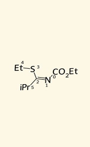 CCOC(=O)N=C(SCC)C(C)C